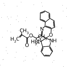 C=C(C)C(=O)OC(CC)C1=Nc2c(ccc3ccccc23)OC12Nc1ccccc1C2(C)C